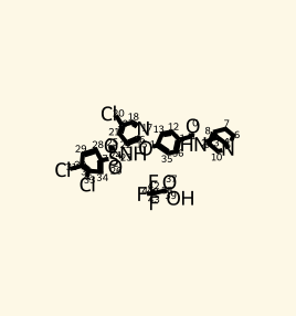 O=C(NC1CN2CCC1CC2)c1ccc(Oc2ncc(Cl)cc2NS(=O)(=O)c2ccc(Cl)c(Cl)c2)cc1.O=C(O)C(F)(F)F